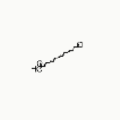 O=C(O)CCCCCCCCCCC=CCCCCl